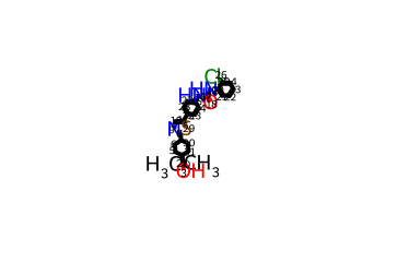 CC(C)(O)C1CCC(c2ncc(-c3ccc(NC(=O)Nc4ccccc4Cl)cc3)s2)CC1